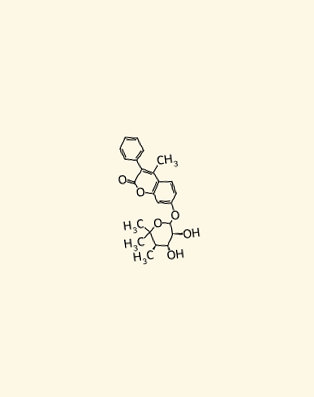 Cc1c(-c2ccccc2)c(=O)oc2cc(OC3OC(C)(C)[C@H](C)[C@H](O)[C@@H]3O)ccc12